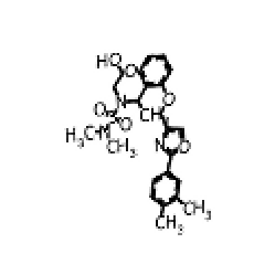 Cc1ccc(-c2nc(COc3ccccc3C(C)N(CC(=O)O)S(=O)(=O)N(C)C)co2)cc1C